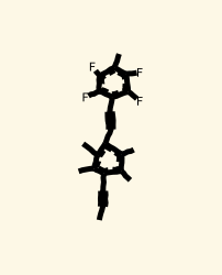 CC#Cc1c(C)c(C)c(C#Cc2c(F)c(F)c(C)c(F)c2F)c(C)c1C